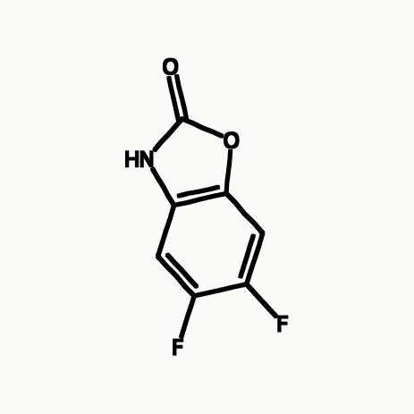 O=c1[nH]c2cc(F)c(F)cc2o1